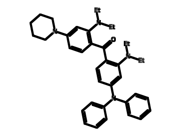 CCN(CC)c1cc(N2CCCCC2)ccc1C(=O)c1ccc(N(c2ccccc2)c2ccccc2)cc1N(CC)CC